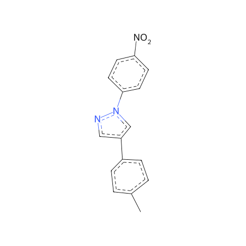 Cc1ccc(-c2cnn(-c3ccc([N+](=O)[O-])cc3)c2)cc1